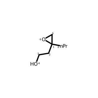 CCCC1(CCO)CO1